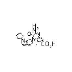 Cc1c(C(=O)O)sc2nc(N)c(=O)n(-c3ccc4ccn(-c5ccccc5)c4c3)c12